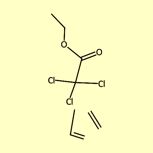 C=C.C=CC.CCOC(=O)C(Cl)(Cl)Cl